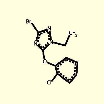 FC(F)(F)Cn1nc(Br)nc1Oc1ccccc1Cl